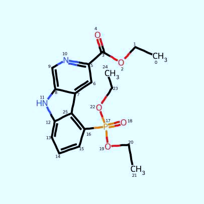 CCOC(=O)c1cc2c(cn1)[nH]c1cccc(P(=O)(OCC)OCC)c12